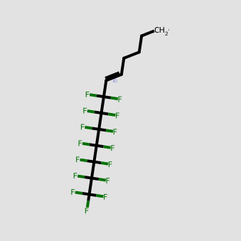 [CH2]CCC/C=C/C(F)(F)C(F)(F)C(F)(F)C(F)(F)C(F)(F)C(F)(F)C(F)(F)F